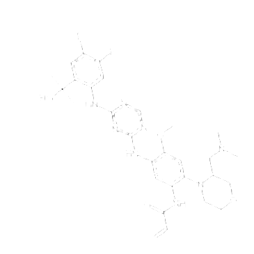 C=CC(=O)Nc1cc(Nc2ncnc(Nc3cc(F)c(F)cc3C(C)(C)O)n2)c(OC)cc1N1CCOCC1CN(C)C